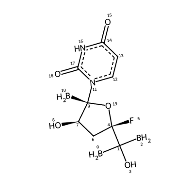 BC(B)(O)[C@]1(F)C[C@@H](O)[C@](B)(n2ccc(=O)[nH]c2=O)O1